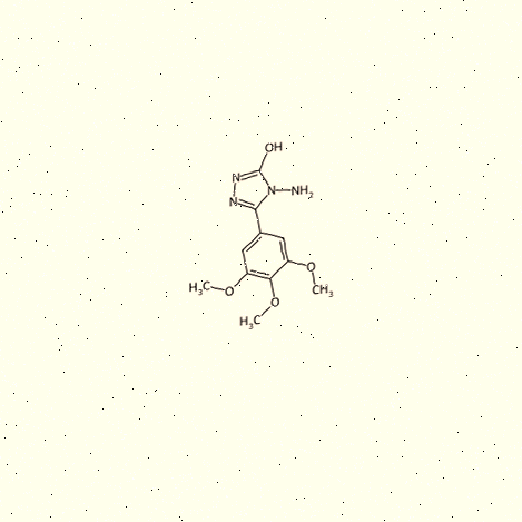 COc1cc(-c2nnc(O)n2N)cc(OC)c1OC